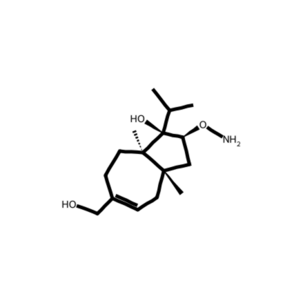 CC(C)[C@]1(O)[C@@H](ON)C[C@]2(C)CC=C(CO)CC[C@]21C